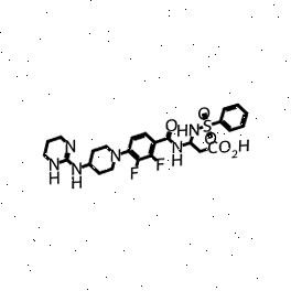 O=C(O)CC(NC(=O)c1ccc(N2CCC(NC3=NCCCN3)CC2)c(F)c1F)NS(=O)(=O)c1ccccc1